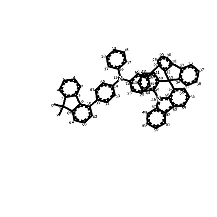 CC1(C)c2ccccc2-c2c(-c3ccc(N(c4ccccc4)c4cccc(-c5cccc6c5C5(c7ccccc7-6)c6ccccc6-n6c7ccccc7c7cccc5c76)c4)cc3)cccc21